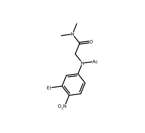 CCc1cc(N(CC(=O)N(C)C)C(C)=O)ccc1[N+](=O)[O-]